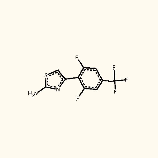 Nc1nc(-c2c(F)cc(C(F)(F)F)cc2F)cs1